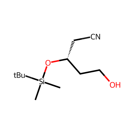 CC(C)(C)[Si](C)(C)O[C@H](CC#N)CCO